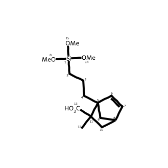 CO[Si](CCCC12C=CC(C1)CC2(C)C(=O)O)(OC)OC